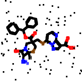 NC1C(=O)N2CC(CSc3ccnc4c(C(=O)O)cnn34)(C(=O)OC(c3ccccc3)c3ccccc3)CS[C@H]12